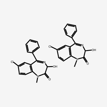 CN1C(=O)C(O)N=C(c2ccccc2)c2cc(Cl)ccc21.CN1C(=O)C(O)N=C(c2ccccc2)c2cc(Cl)ccc21